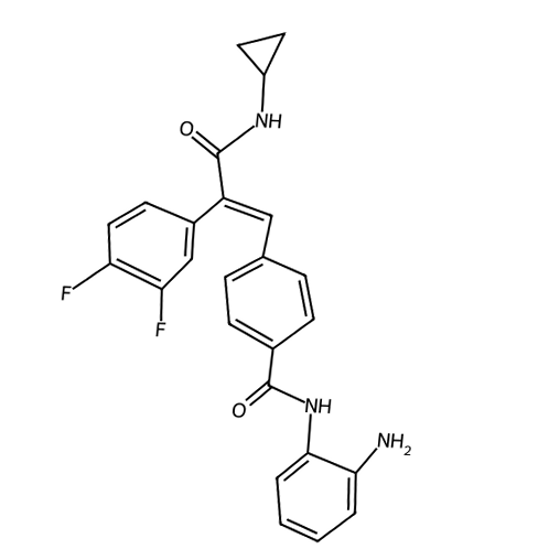 Nc1ccccc1NC(=O)c1ccc(/C=C(/C(=O)NC2CC2)c2ccc(F)c(F)c2)cc1